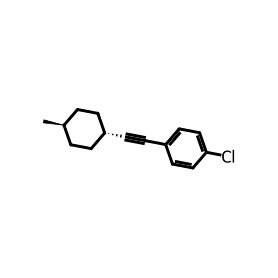 C[C@H]1CC[C@H](C#Cc2ccc(Cl)cc2)CC1